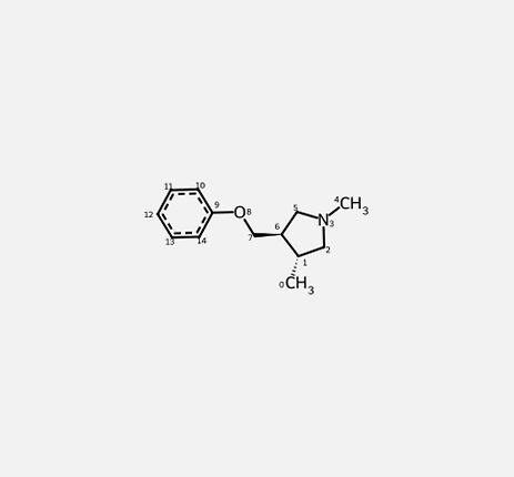 C[C@H]1CN(C)C[C@@H]1COc1ccccc1